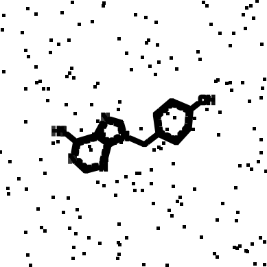 Oc1ccc(Cn2cnc3c(S)ncnc32)cc1